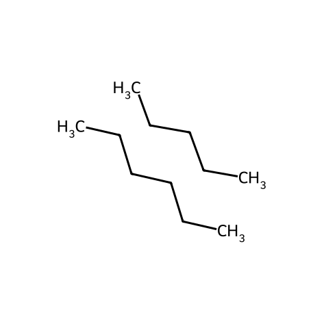 CCCCC.CCCCCC